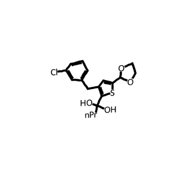 CCCC(O)(O)c1sc(C2OCCO2)cc1Cc1cccc(Cl)c1